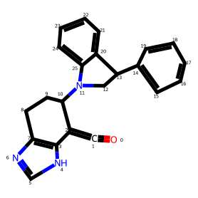 O=C=C1c2[nH]cnc2CCC1N1CC(c2ccccc2)c2ccccc21